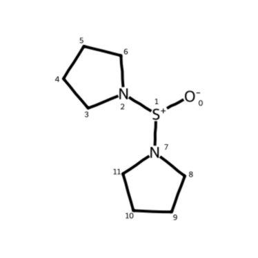 [O-][S+](N1CCCC1)N1CCCC1